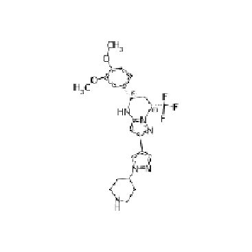 COc1ccc([C@@H]2C[C@H](C(F)(F)F)n3nc(-c4cnn(C5CCNCC5)c4)cc3N2)cc1OC